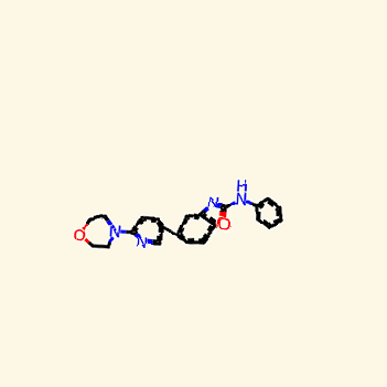 c1ccc(Nc2nc3cc(-c4ccc(N5CCOCC5)nc4)ccc3o2)cc1